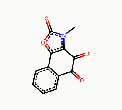 Cn1c2c(oc1=O)-c1ccccc1C(=O)C2=O